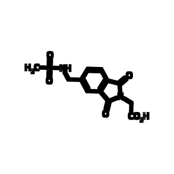 CS(=O)(=O)NCc1ccc2c(c1)C(=O)N(CC(=O)O)C2=O